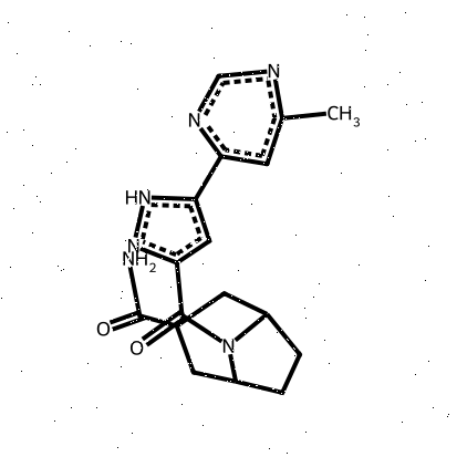 Cc1cc(-c2cc(C(=O)N3C4CCC3CC(C(N)=O)C4)n[nH]2)ncn1